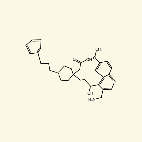 COc1ccc2ncc(CN)c([C@@H](O)CCC3(CC(=O)O)CCN(CCCc4ccccc4)CC3)c2c1